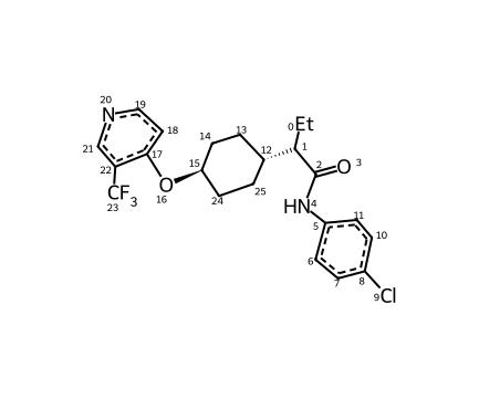 CCC(C(=O)Nc1ccc(Cl)cc1)[C@H]1CC[C@H](Oc2ccncc2C(F)(F)F)CC1